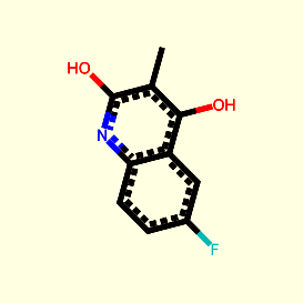 Cc1c(O)nc2ccc(F)cc2c1O